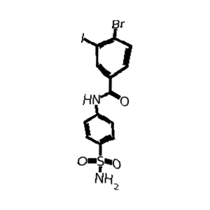 NS(=O)(=O)c1ccc(NC(=O)c2ccc(Br)c(I)c2)cc1